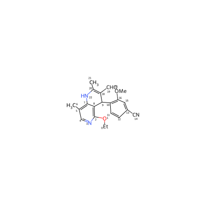 CCOc1ncc(C)c2c1C(c1ccc(C#N)cc1OC)C(C=O)=C(C)N2